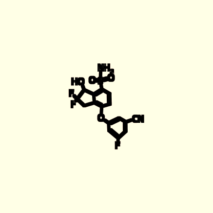 N#Cc1cc(F)cc(Oc2ccc(S(N)(=O)=O)c3c2CC(F)(F)C3O)c1